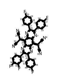 N#CC(C#N)=c1c2nc(-c3ccc(F)cc3)c(-c3ccc(F)cc3)nc2c(=C(C#N)C#N)c2nc(-c3ccc(F)c(F)c3)c(-c3ccc(F)cc3)nc12